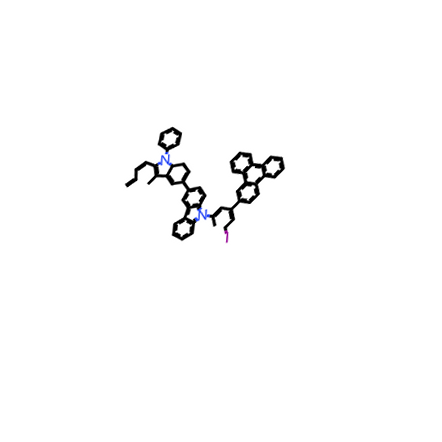 C=C/C=C\C1=C(C)C2=CC(c3ccc4c(c3)c3ccccc3n4/C(C)=C/C(=C\CI)c3ccc4c5ccccc5c5ccccc5c4c3)=CCC2N1c1ccccc1